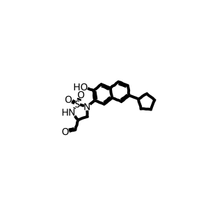 O=CC1CN(c2cc3cc(C4CCCC4)ccc3cc2O)S(=O)(=O)N1